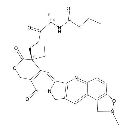 CCCC(=O)N[C@@H](C)C(=O)CC[C@]1(CC)C(=O)OCc2c1cc1n(c2=O)Cc2cc3c4c(ccc3nc2-1)ON(C)C4